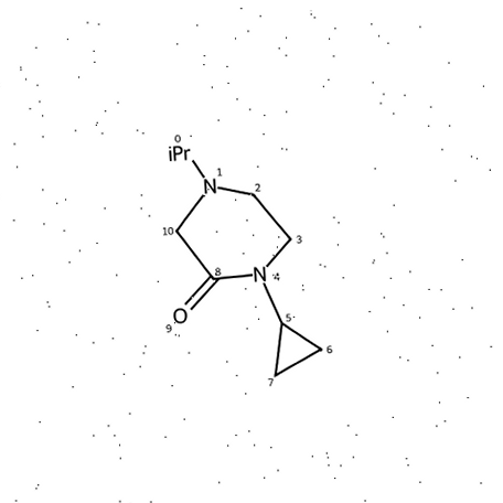 CC(C)N1CCN(C2CC2)C(=O)C1